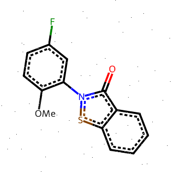 COc1ccc(F)cc1-n1sc2ccccc2c1=O